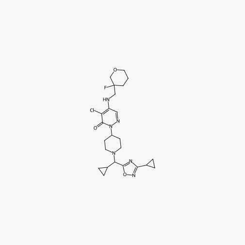 O=c1c(Cl)c(NCC2(F)CCCOC2)cnn1C1CCN(C(c2nc(C3CC3)no2)C2CC2)CC1